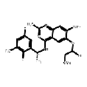 CCC(COC)Oc1cc2c(N[C@H](C)c3cc(F)cc(C(F)(F)F)c3F)nc(C)nc2cc1OC